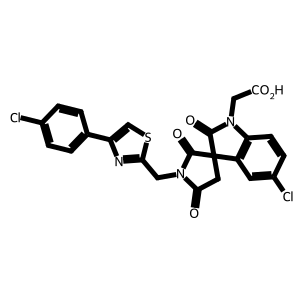 O=C(O)CN1C(=O)C2(CC(=O)N(Cc3nc(-c4ccc(Cl)cc4)cs3)C2=O)c2cc(Cl)ccc21